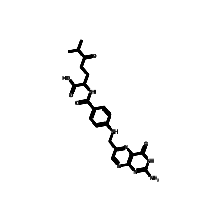 CC(C)C(=O)CCC(NC(=O)c1ccc(NCc2cnc3nc(N)[nH]c(=O)c3n2)cc1)C(=O)O